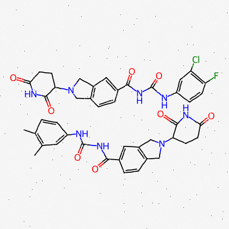 Cc1ccc(NC(=O)NC(=O)c2ccc3c(c2)CN(C2CCC(=O)NC2=O)C3)cc1C.O=C1CCC(N2Cc3ccc(C(=O)NC(=O)Nc4ccc(F)c(Cl)c4)cc3C2)C(=O)N1